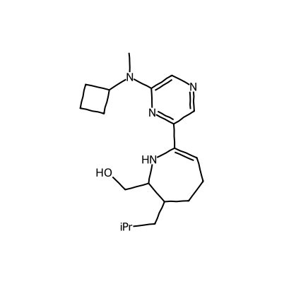 CC(C)CC1CCC=C(c2cncc(N(C)C3CCC3)n2)NC1CO